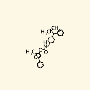 Cc1oc(-c2ccccc2)cc1OC(=O)NCC1CCC(C(c2ccccc2)N(C)C)CC1